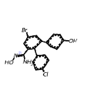 N/C(=N\O)c1cc(Br)cc(-c2ccc(O)cc2)c1-c1ccc(Cl)cc1